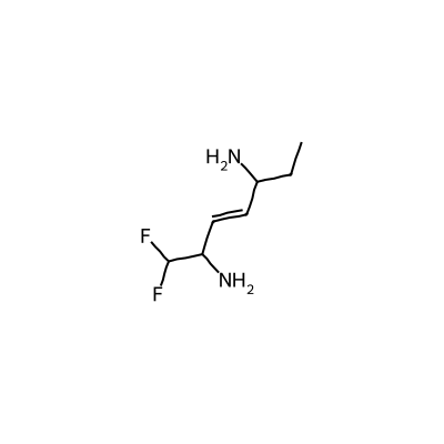 CCC(N)/C=C/C(N)C(F)F